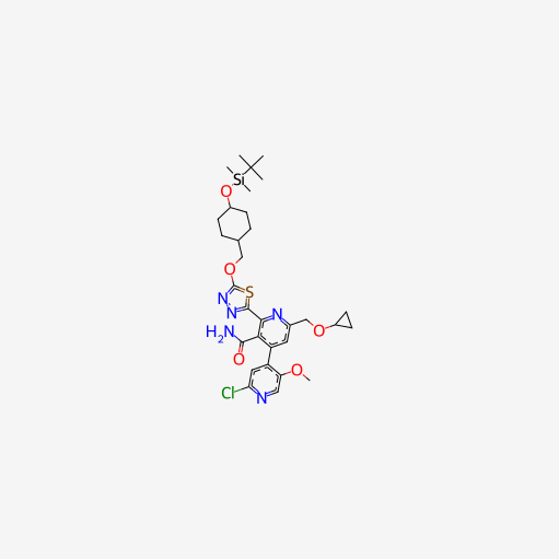 COc1cnc(Cl)cc1-c1cc(COC2CC2)nc(-c2nnc(OCC3CCC(O[Si](C)(C)C(C)(C)C)CC3)s2)c1C(N)=O